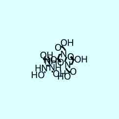 O=C(O)CN(CCN(CC(=O)O)CC(=O)O)CC(=O)O.OCNC(NCO)NCO